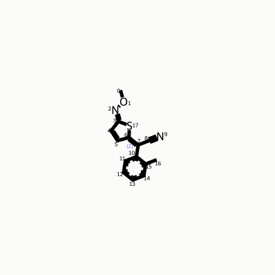 CON=C1C=C/C(=C(/C#N)c2ccccc2C)S1